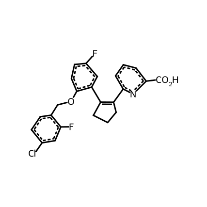 O=C(O)c1cccc(C2=C(c3cc(F)ccc3OCc3ccc(Cl)cc3F)CCC2)n1